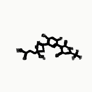 CC1(CCC(=O)O)CC(c2cc(-n3c(=O)cc(C(F)(F)F)[nH]c3=O)c(F)cc2Cl)=NO1